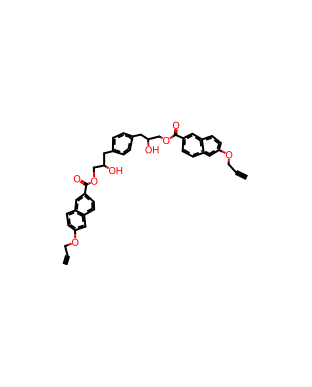 C#CCOc1ccc2cc(C(=O)OCC(O)Cc3ccc(CC(O)COC(=O)c4ccc5cc(OCC#C)ccc5c4)cc3)ccc2c1